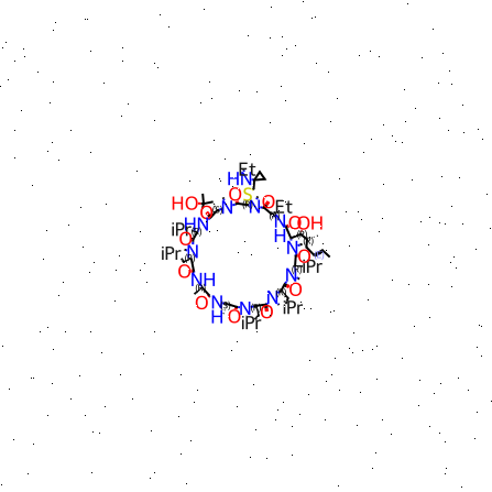 C/C=C/C[C@@H](C)[C@@H](O)C1C(=O)N[C@H](CC)C(=O)N(C)[C@H](SCC2(NCC)CC2)C(=O)N(C)[C@@H](CC(C)(C)O)C(=O)N[C@H](C(C)C)C(=O)N(C)[C@H](CC(C)C)C(=O)N[C@H](C)C(=O)N[C@@H](C)C(=O)N(C)[C@H](CC(C)C)C(=O)N(C)[C@H](CC(C)C)C(=O)N(C)[C@H](C(C)C)C(=O)N1C